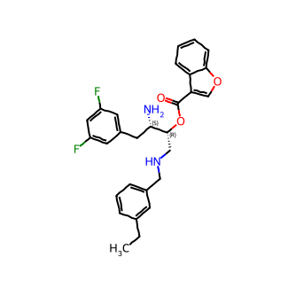 CCc1cccc(CNC[C@@H](OC(=O)c2coc3ccccc23)[C@@H](N)Cc2cc(F)cc(F)c2)c1